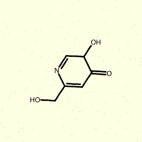 O=C1C=C(CO)N=CC1O